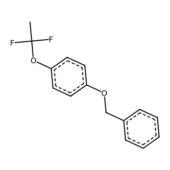 CC(F)(F)Oc1ccc(OCc2ccccc2)cc1